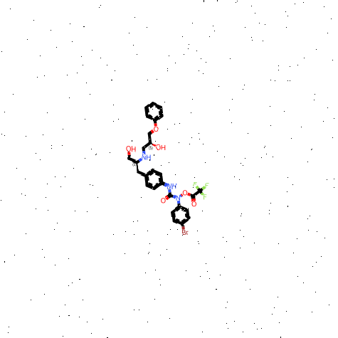 O=C(Nc1ccc(C[C@@H](CO)NC[C@H](O)COc2ccccc2)cc1)N(OC(=O)C(F)(F)F)c1ccc(Br)cc1